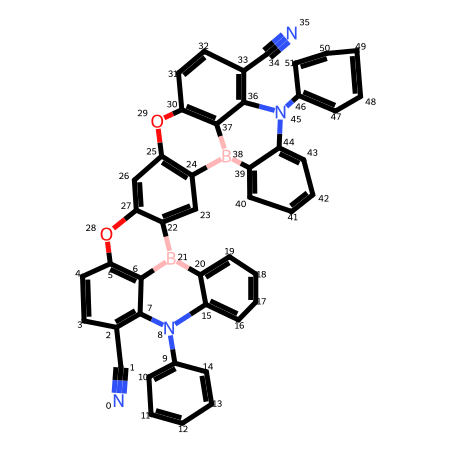 N#Cc1ccc2c3c1N(c1ccccc1)c1ccccc1B3c1cc3c(cc1O2)Oc1ccc(C#N)c2c1B3c1ccccc1N2c1ccccc1